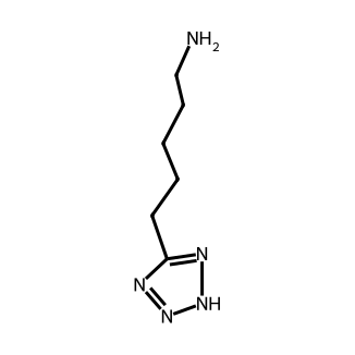 NCCCCCc1nn[nH]n1